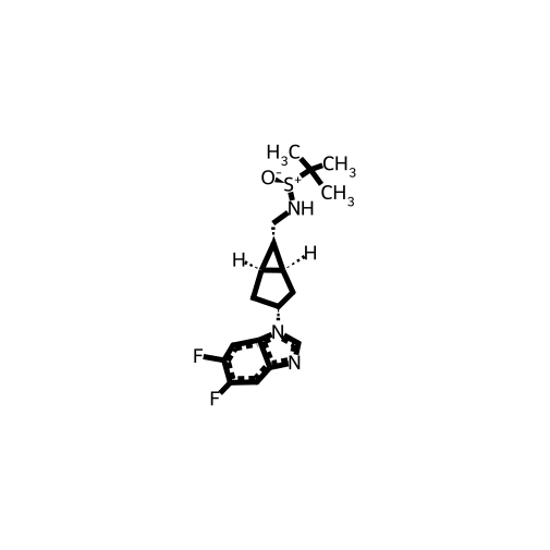 CC(C)(C)[S@+]([O-])NC[C@@H]1[C@H]2C[C@H](n3cnc4cc(F)c(F)cc43)C[C@@H]12